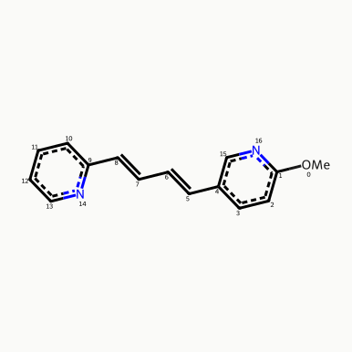 COc1ccc(C=CC=Cc2ccccn2)cn1